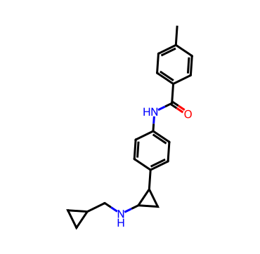 Cc1ccc(C(=O)Nc2ccc(C3CC3NCC3CC3)cc2)cc1